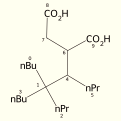 CCCCC(CCC)(CCCC)C(CCC)C(CC(=O)O)C(=O)O